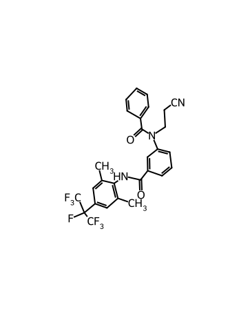 Cc1cc(C(F)(C(F)(F)F)C(F)(F)F)cc(C)c1NC(=O)c1cccc(N(CCC#N)C(=O)c2ccccc2)c1